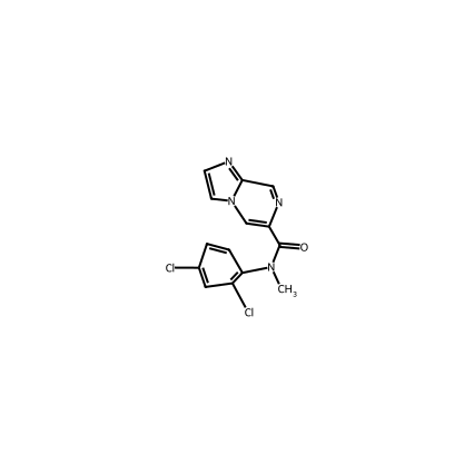 CN(C(=O)c1cn2ccnc2cn1)c1ccc(Cl)cc1Cl